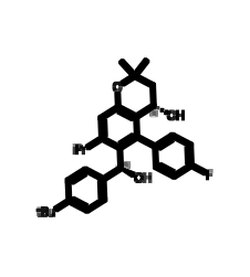 CC(C)c1cc2c(c(-c3ccc(F)cc3)c1[C@@H](O)c1ccc(C(C)(C)C)cc1)[C@@H](O)CC(C)(C)O2